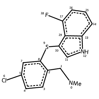 CNCc1ccc(Cl)cc1Sc1c[nH]c2cccc(F)c12